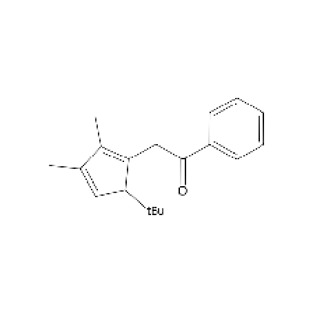 CC1=CC(C(C)(C)C)C(CC(=O)c2ccccc2)=C1C